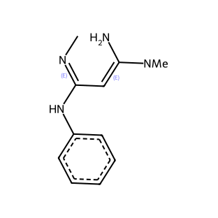 C/N=C(\C=C(/N)NC)Nc1ccccc1